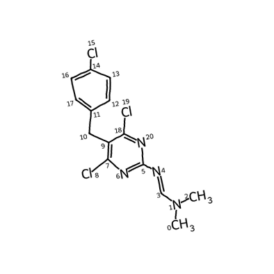 CN(C)C=Nc1nc(Cl)c(Cc2ccc(Cl)cc2)c(Cl)n1